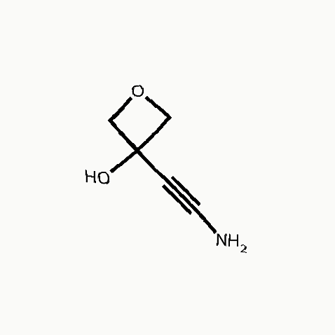 NC#CC1(O)COC1